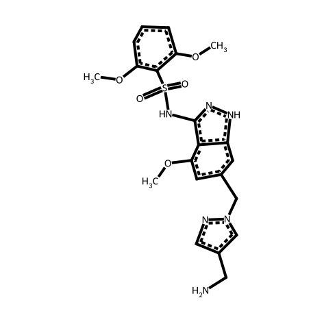 COc1cccc(OC)c1S(=O)(=O)Nc1n[nH]c2cc(Cn3cc(CN)cn3)cc(OC)c12